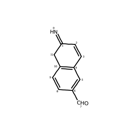 N=C1C=Cc2cc(C=O)ccc2C1